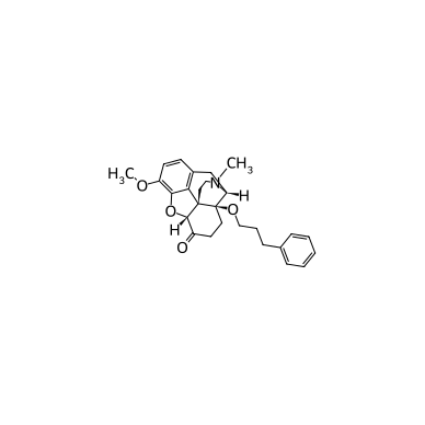 COc1ccc2c3c1O[C@H]1C(=O)CC[C@@]4(OCCCc5ccccc5)[C@@H](C2)N(C)CC[C@]314